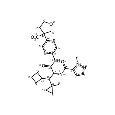 Cn1nccc1C(=O)N[C@H](C(=O)Nc1ccc(C2(C(=O)O)CCOC2)cc1)C(C1CCC1)C1(C)CC1